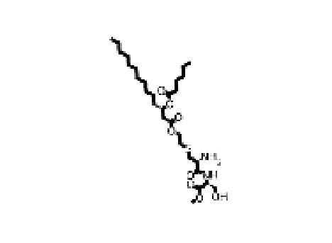 CCCCCCCCCCC[C@H](CC(=O)OCCSC[C@H](N)C(=O)N[C@@H](CO)C(=O)OC)OC(=O)CCCCC